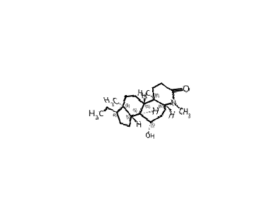 CC[C@@H]1CC[C@H]2[C@@H]3[C@@H](O)C[C@H]4N(C)C(=O)CC[C@]4(C)[C@H]3CC[C@]12C